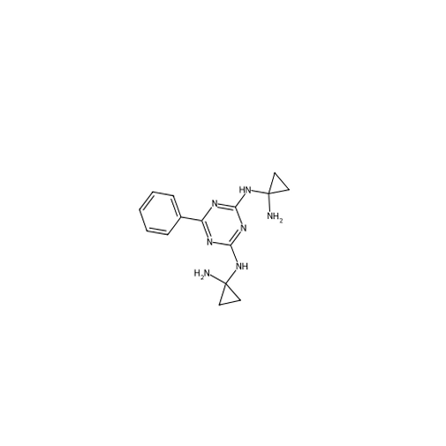 NC1(Nc2nc(NC3(N)CC3)nc(-c3ccccc3)n2)CC1